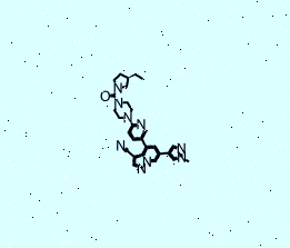 CC[C@@H]1CCN(C(=O)N2CCN(c3ccc(-c4cc(-c5cnn(C)c5)cn5ncc(C#N)c45)cn3)CC2)C1